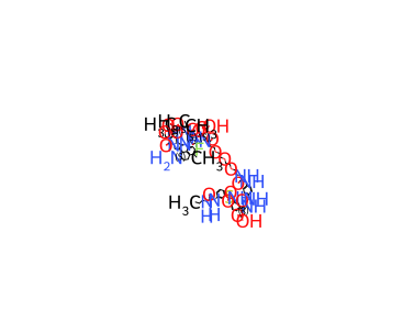 CCCNC(=O)Nc1cccc(S(=O)(=O)Nc2cccc([C@@H](CC(=O)O)NC(=O)Nc3ccc(NC(=O)NCCOCCOCCOCCC(=O)N[C@@H](CC(=O)O)C(=O)N4CCC[C@H]4C(=O)N[C@H](C(=O)O[C@]4(CC)C(=O)OCc5c4cc4n(c5=O)Cc5c-4nc4cc(F)c(C)c6c4c5[C@@H](N)CC6)C(C)C)cc3)c2)c1